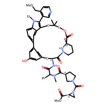 CCn1c(-c2cnccc2COC)c2c3cc(ccc31)-c1cc(O)cc(c1)C[C@H](NC(=O)C(C(C)C)N(C)C(=O)[C@H]1CCN(C(=O)N3C[C@H]3C(=O)OC)C1)C(=O)N1CCC[C@H](N1)C(=O)OCC(C)(C)C2